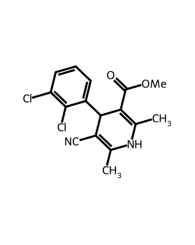 COC(=O)C1=C(C)NC(C)=C(C#N)C1c1cccc(Cl)c1Cl